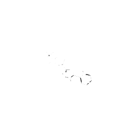 CC(O[Si](C)(C)C(C)(C)C)c1nnc(-c2ccccn2)s1